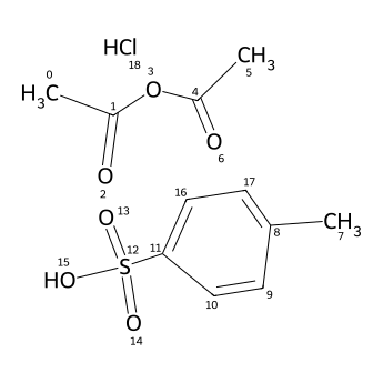 CC(=O)OC(C)=O.Cc1ccc(S(=O)(=O)O)cc1.Cl